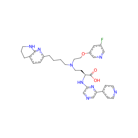 O=C(O)[C@H](CCN(CCCCc1ccc2c(n1)NCCC2)CCOc1cncc(F)c1)Nc1cncc(-c2ccncc2)n1